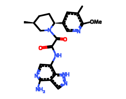 COc1ncc([C@H]2CC[C@H](C)CN2C(=O)C(=O)Nc2cnc(N)c3cn[nH]c23)cc1C